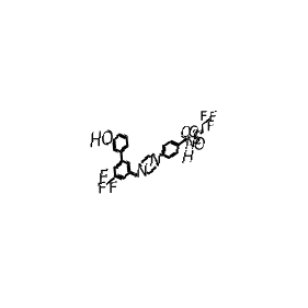 O=C(NS(=O)(=O)CCC(F)(F)F)c1ccc(N2CCN(Cc3cc(-c4cccc(O)c4)cc(C(F)(F)F)c3)CC2)cc1